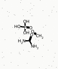 C=O.NC(N)=O.O=P(O)(O)O